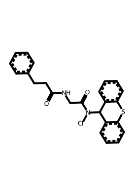 O=C(CCc1ccccc1)NCC(=O)N(Cl)C1c2ccccc2Sc2ccccc21